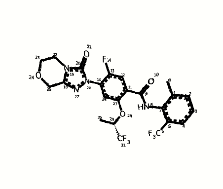 Cc1cccc(C(F)(F)F)c1NC(=O)c1cc(F)c(-n2nc3n(c2=O)CCOC3)cc1O[C@@H](C)C(F)(F)F